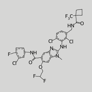 Cn1c(Nc2c(Cl)ccc(CNC(=O)C3(C(F)(F)F)CCC3)c2Cl)nc2cc(C(=O)Nc3ccc(F)c(Cl)c3)c(OCC(F)F)cc21